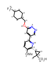 COc1ccc(-c2cnnc(OCC3CCC(C(F)(F)F)CC3)c2)nc1[C@@H]1C[C@@]1(C)C(=O)O